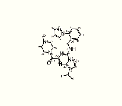 CC(C)c1cnn2c(NCc3ccccc3-n3cccn3)nc(C(=O)N3CCN(C)CC3)nc12